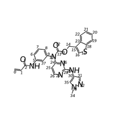 C=CC(=O)Nc1cccc(N(C(=O)OCc2csc3ccccc23)c2ccnc(Nc3cnn(C)c3)n2)c1